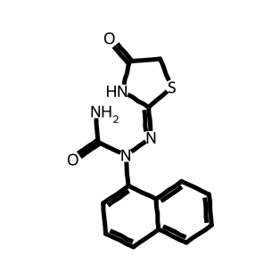 NC(=O)N(N=C1NC(=O)CS1)c1cccc2ccccc12